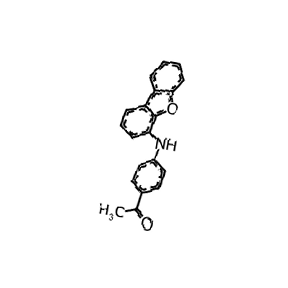 CC(=O)c1ccc(Nc2cccc3c2oc2ccccc23)cc1